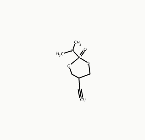 C#CC1COP(=O)(N(C)C)SC1